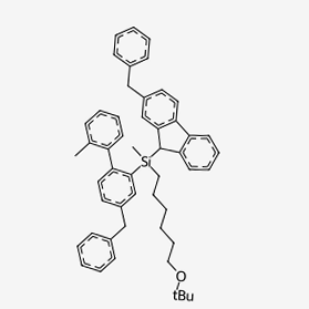 Cc1ccccc1-c1ccc(Cc2ccccc2)cc1[Si](C)(CCCCCCOC(C)(C)C)C1c2ccccc2-c2ccc(Cc3ccccc3)cc21